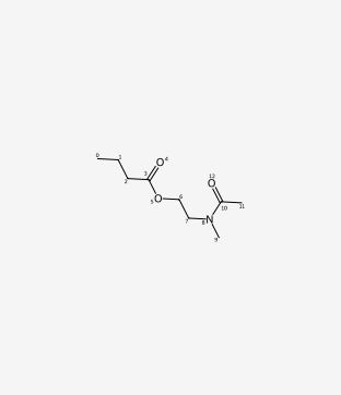 CCCC(=O)OCCN(C)C(C)=O